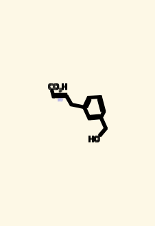 O=C(O)/C=C/Cc1cccc(CO)c1